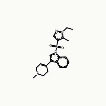 CCn1ncc(S(=O)(=O)n2cc(C3=CCN(C)CC3)c3ccccc32)c1C